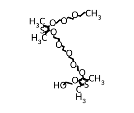 CCCOCCOCCOc1c(C)sc(C)c1OCCOCCOCCOCCOc1c(C)sc(C)c1OCCO